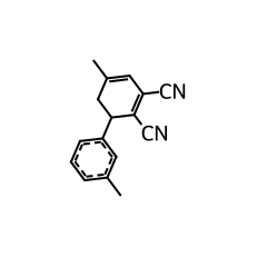 CC1=CC(C#N)=C(C#N)C(c2cccc(C)c2)C1